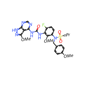 CCCS(=O)(=O)N(Cc1ccc(OC)cc1)c1ccc(F)c(NC(=O)Nc2ncnc3[nH]nc(OC)c23)c1OC